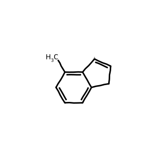 Cc1cccc2c1[C]=CC2